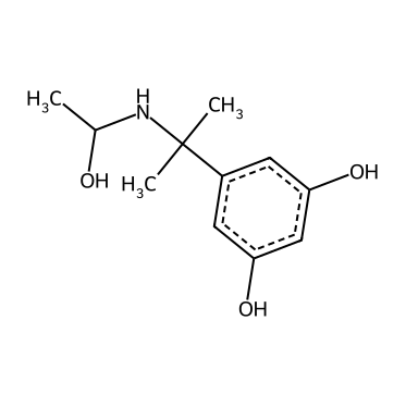 CC(O)NC(C)(C)c1cc(O)cc(O)c1